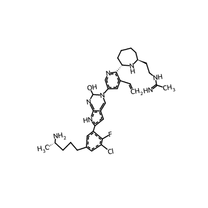 C=Cc1cc(N2C=c3cc(-c4cc(CCC[C@H](C)N)cc(Cl)c4F)[nH]c3=NC2O)cnc1[C@@H]1CCCC[C@@H](CCNC(C)=N)N1